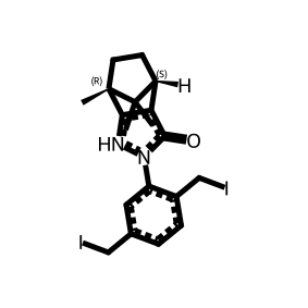 CC1(C)[C@@H]2CC[C@@]1(C)c1[nH]n(-c3cc(CI)ccc3CI)c(=O)c12